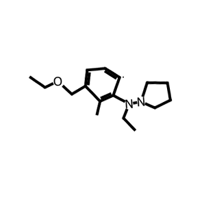 CCOCc1cc[c]c(N(CC)N2CCCC2)c1C